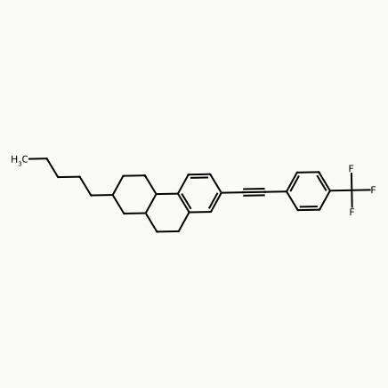 CCCCCC1CCC2c3ccc(C#Cc4ccc(C(F)(F)F)cc4)cc3CCC2C1